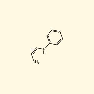 N/C=C\Nc1ccccc1